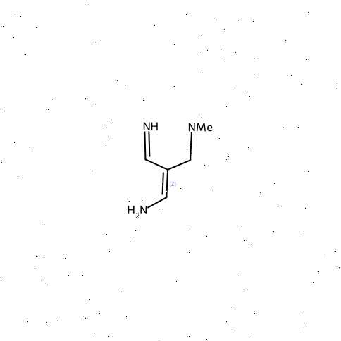 CNC/C(C=N)=C/N